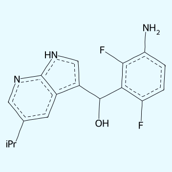 CC(C)c1cnc2[nH]cc(C(O)c3c(F)ccc(N)c3F)c2c1